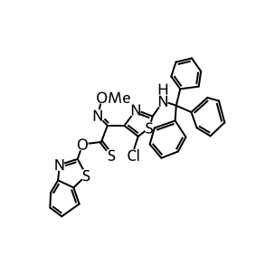 CON=C(C(=S)Oc1nc2ccccc2s1)c1nc(NC(c2ccccc2)(c2ccccc2)c2ccccc2)sc1Cl